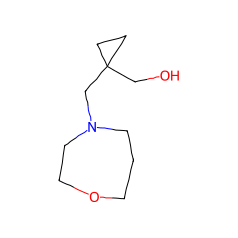 OCC1(CN2CCCOCC2)CC1